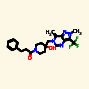 C=C1c2nn(C)c(C(F)(F)F)c2N=CN1CC1(O)CCN(C(=O)CCc2ccccc2)CC1